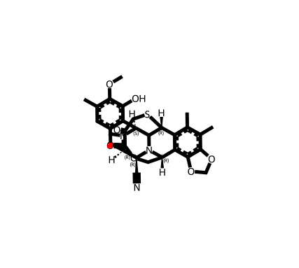 COc1c(C)cc2c(c1O)[C@H]1C3[C@@H]4SCC(=O)C(=O)OC[C@@H](c5c6c(c(C)c(C)c54)OCO6)N3[C@@H](C#N)[C@@H](C2)N1C